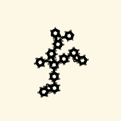 c1ccc(-n2c3ccccc3c3cc(-c4ccc5c(c4)c4c(-c6ccc(-c7cccc8c7oc7ccccc78)cc6)nc(-c6ccc(-c7cccc8c7oc7ccccc78)cc6)nc4n5-c4ccccc4)ccc32)cc1